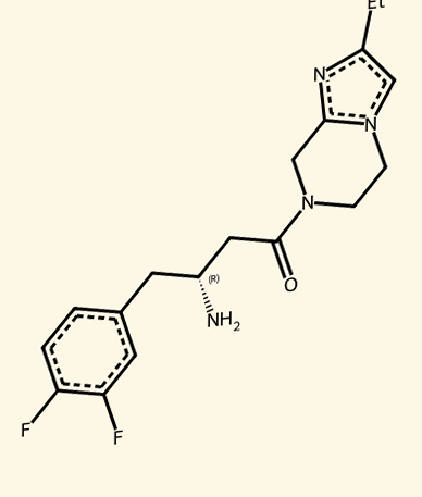 CCc1cn2c(n1)CN(C(=O)C[C@H](N)Cc1ccc(F)c(F)c1)CC2